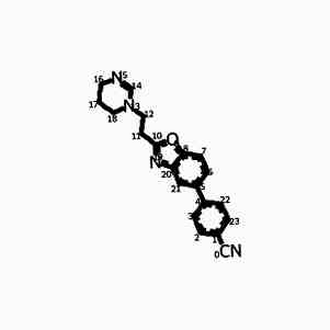 N#Cc1ccc(-c2ccc3oc(CCN4C=NCCC4)nc3c2)cc1